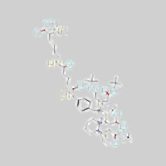 CCN(CC(=O)OC(C)(C)C)[C@H]1CCCC[C@@H]1N(CC(=O)OC(C)(C)C)C[C@@H](Cc1ccc(NC(=O)CCCC(=O)NCCCCC(NC)C(=O)O)cc1)N(CC(=O)OC(C)(C)C)CC(=O)OC(C)(C)C